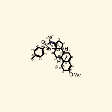 [C-]#[N+]/C(=C1\CC[C@H]2[C@@H]3CC=C4C=C(OC)C[C@H](C)[C@]4(C)[C@H]3CC[C@]12C)S(=O)(=O)c1ccc(C)cc1